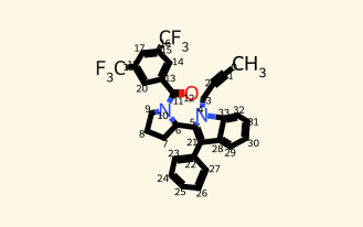 CC#CCn1c(C2CCCN2C(=O)c2cc(C(F)(F)F)cc(C(F)(F)F)c2)c(-c2ccccc2)c2ccccc21